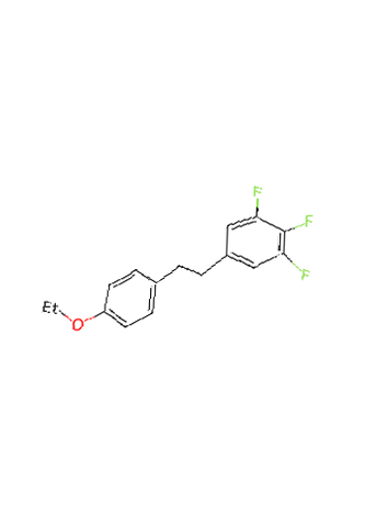 CCOc1ccc(CCc2cc(F)c(F)c(F)c2)cc1